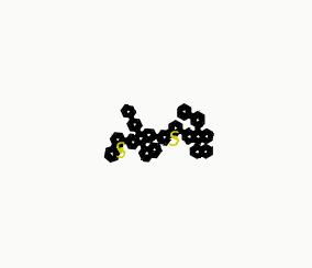 c1ccc(-c2ccc(-c3c4cc(-c5cccc6c5sc5ccccc56)ccc4c(-c4cccc5ccccc45)c4cc(-c5ccc6sc7c(-c8ccc9c(-c%10cccc%11ccccc%10%11)c%10ccccc%10c(-c%10cccc(-c%11ccccc%11)c%10)c9c8)cccc7c6c5)ccc34)cc2)cc1